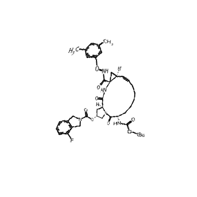 Cc1cc(C)cc(ONC(=O)[C@@]23C[C@H]2/C=C\CCCCC[C@H](NC(=O)OC(C)(C)C)C(=O)N2C[C@H](OC(=O)N4Cc5cccc(F)c5C4)C[C@H]2C(=O)N3)c1